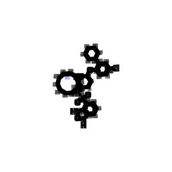 O=S(=O)(NC1CCC(Oc2ccc(Cl)cc2C2CCCCC2)NC12C/C=C\CCCCCC2)c1cccc2c1NON2